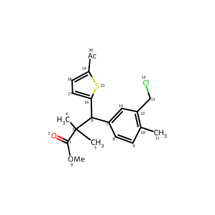 COC(=O)C(C)(C)C(c1ccc(C)c(CCl)c1)c1ccc(C(C)=O)s1